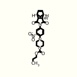 CCCOC(=O)N1CCN(c2ccc(N3C(=O)C4[C@H]5C=C[C@H](C5)[C@H]4C3=O)cc2[N+](=O)[O-])CC1